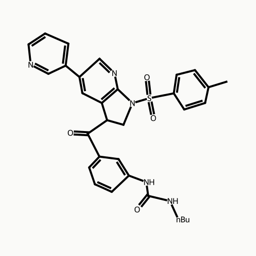 CCCCNC(=O)Nc1cccc(C(=O)C2CN(S(=O)(=O)c3ccc(C)cc3)c3ncc(-c4cccnc4)cc32)c1